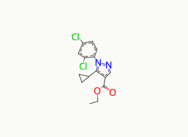 CCOC(=O)c1cnn(-c2ccc(Cl)cc2Cl)c1C1CC1